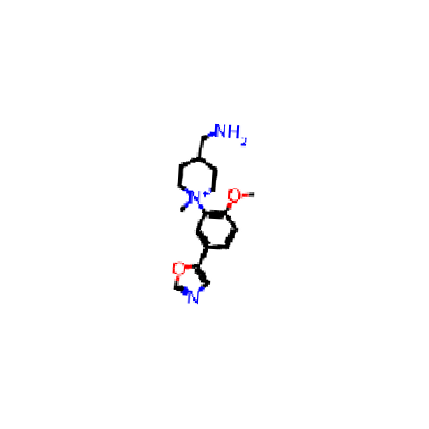 COc1ccc(-c2cnco2)cc1[N+]1(C)CCC(CN)CC1